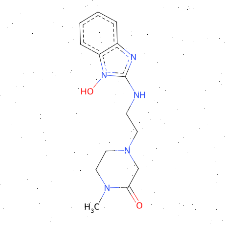 CN1CCN(CCNc2nc3ccccc3n2O)CC1=O